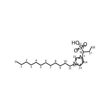 CCCCCCCCCCCCn1cc[n+](C(CC)S(=O)(=O)O)c1